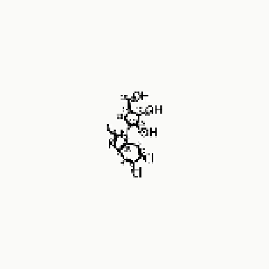 Cc1nc2cc(Cl)c(Cl)cc2n1[C@H]1CC(CO)C(O)C1O